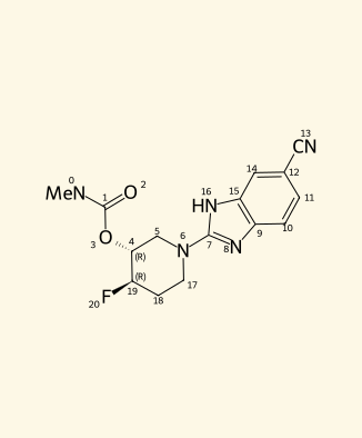 CNC(=O)O[C@@H]1CN(c2nc3ccc(C#N)cc3[nH]2)CC[C@H]1F